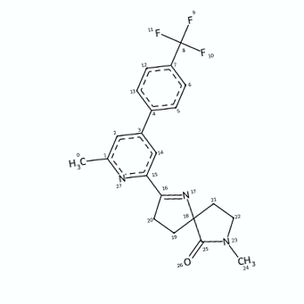 Cc1cc(-c2ccc(C(F)(F)F)cc2)cc(C2=NC3(CC2)CCN(C)C3=O)n1